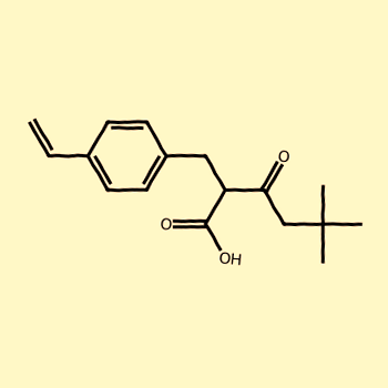 C=Cc1ccc(CC(C(=O)O)C(=O)CC(C)(C)C)cc1